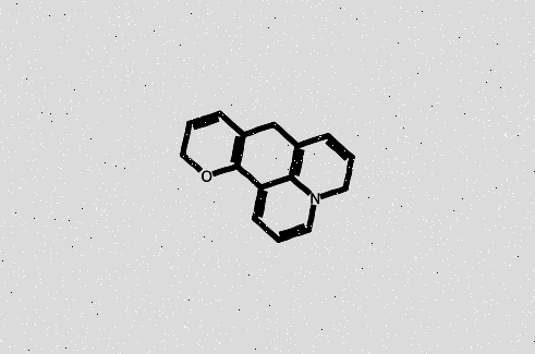 C1=CN2CC=CC3=C2C(=C1)C1=C(C=CCO1)C3